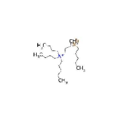 CCCCCBr.CCCCC[N+](CCCC)(CCCC)CCCC.[Br-]